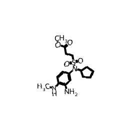 CNc1ccc(N(C2CCCC2)S(=O)(=O)CCC(=O)OC)cc1N